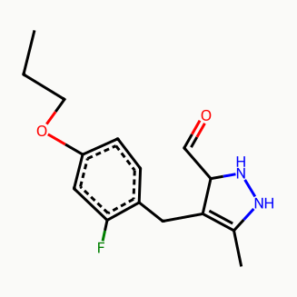 CCCOc1ccc(CC2=C(C)NNC2C=O)c(F)c1